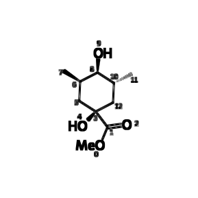 COC(=O)[C@]1(O)C[C@@H](C)[C@@H](O)[C@H](C)C1